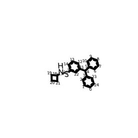 c1ccc(C(c2ccccc2)c2cccc(SNC3CCC3)c2)cc1